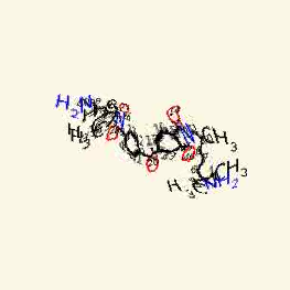 CCC(N)(CC)CCCC(C)CN1C(=O)c2ccc(C(=O)c3ccc(C(=O)N(C=O)C(CC)(CC)C(C)CCCN)cc3)cc2C1=O